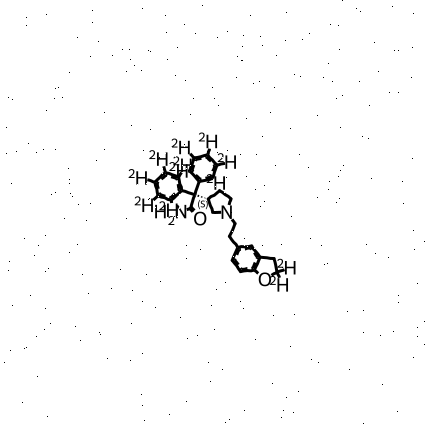 [2H]c1c([2H])c([2H])c(C(C(N)=O)(c2c([2H])c([2H])c([2H])c([2H])c2[2H])[C@@H]2CCN(CCc3ccc4c(c3)CC([2H])([2H])O4)C2)c([2H])c1[2H]